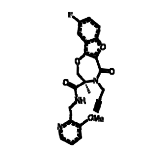 C#CCN1C(=O)c2oc3ccc(F)cc3c2OC[C@]1(C)C(=O)NCc1ncccc1OC